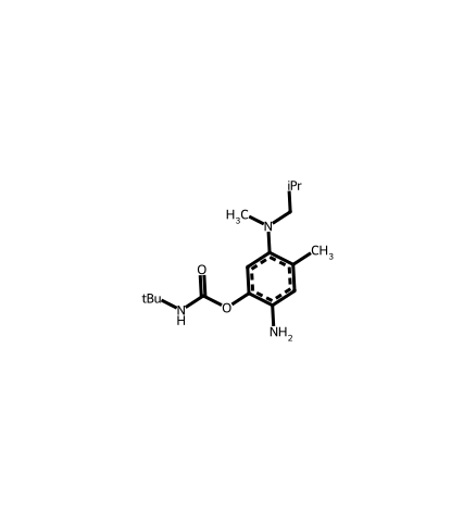 Cc1cc(N)c(OC(=O)NC(C)(C)C)cc1N(C)CC(C)C